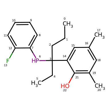 CCCC(CC)(Pc1ccccc1F)c1cc(C)cc(C)c1O